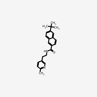 Cc1ccc(CCNC(=O)c2ccc3cc(C(C)(C)C)ccc3c2)cn1